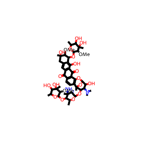 COC1C(OC2OC(C)C(O)C(C)(O)C2OC)c2c(cc3c(c2O)C(=O)c2c(ccc4c2OC2OC4(C)C(OC4CC(C)(N)C(OC5OC(C)C(O)C(C)(O)C5OC)C(C)O4)C(N(C)C)C2O)C3=O)CC1(C)O